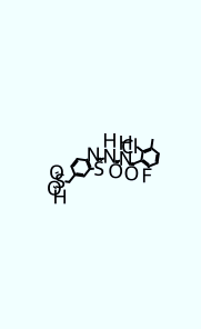 Cc1ccc(F)c(C(=O)NC(=O)Nc2nc3ccc(C[SH](=O)=O)cc3s2)c1Cl